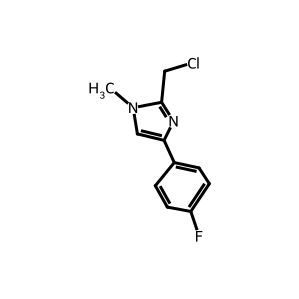 Cn1cc(-c2ccc(F)cc2)nc1CCl